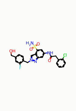 NS(=O)(=O)c1cc(NC(=O)Cc2ccccc2Cl)cc2nn(Cc3ccc(CO)cc3F)cc12